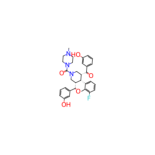 Cc1c(F)cccc1[C@H]1[C@@H](C(=O)c2cccc(O)c2)CN(C(=O)N2CCN(C)CC2)C[C@H]1C(=O)c1cccc(O)c1